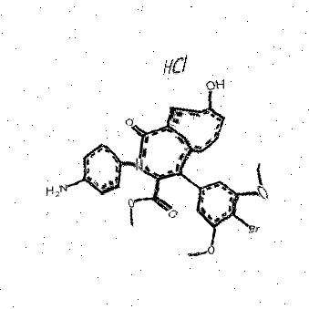 COC(=O)c1c(-c2cc(OC)c(Br)c(OC)c2)c2ccc(O)cc2c(=O)n1-c1ccc(N)cc1.Cl